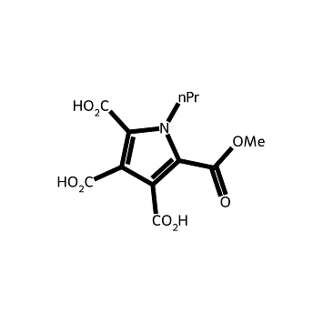 CCCn1c(C(=O)O)c(C(=O)O)c(C(=O)O)c1C(=O)OC